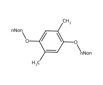 CCCCCCCCCOc1cc(C)c(OCCCCCCCCC)cc1C